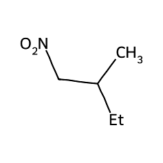 [CH2]CC(C)C[N+](=O)[O-]